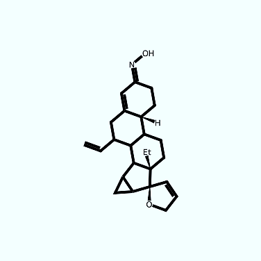 C=CC1CC2=CC(=NO)CC[C@@H]2C2CC[C@@]3(CC)C(C4CC4[C@@]34C=CCO4)C12